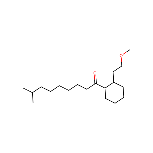 COCCC1CCCCC1C(=O)CCCCCCC(C)C